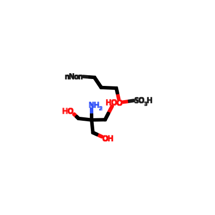 CCCCCCCCCCCCOS(=O)(=O)O.NC(CO)(CO)CO